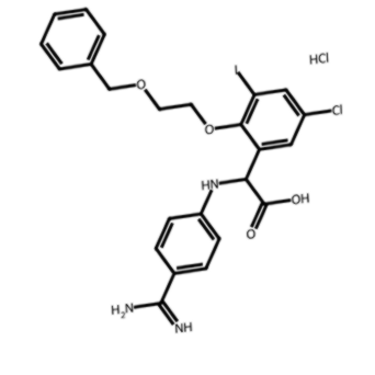 Cl.N=C(N)c1ccc(NC(C(=O)O)c2cc(Cl)cc(I)c2OCCOCc2ccccc2)cc1